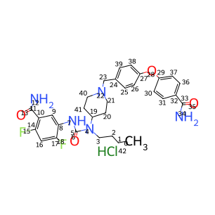 CCCCN(C(=O)Nc1cc(C(N)=O)c(F)cc1F)C1CCN(Cc2ccc(Oc3ccc(C(N)=O)cc3)cc2)CC1.Cl